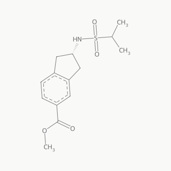 COC(=O)c1ccc2c(c1)C[C@@H](NS(=O)(=O)C(C)C)C2